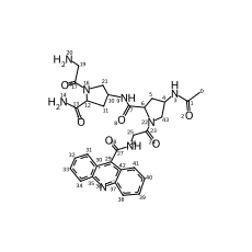 CC(=O)NC1CC(C(=O)NC2CC(C(N)=O)N(C(=O)CN)C2)N(C(=O)CNC(=O)c2c3ccccc3nc3ccccc23)C1